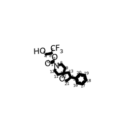 O=C(O[C@H](CO)C(F)(F)F)N1CCC2(CC1)CC(c1ccccc1)CO2